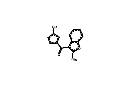 CCCCc1oc2ccccc2c1C(=O)c1ccc(O)s1